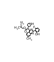 Cc1ccc2c(N(C(=O)OCC(C)C)C3CCNC3)nc(-c3c(O)cccc3F)nc2c1